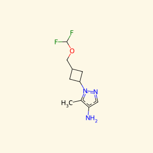 Cc1c(N)cnn1C1CC(COC(F)F)C1